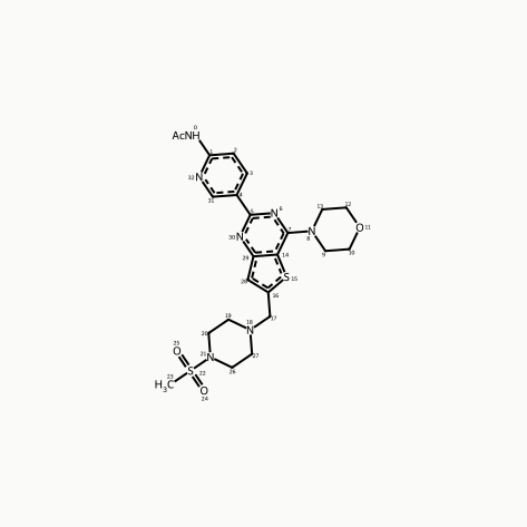 CC(=O)Nc1ccc(-c2nc(N3CCOCC3)c3sc(CN4CCN(S(C)(=O)=O)CC4)cc3n2)cn1